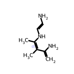 C=C(N)/C(C)=C(/C)NC=CN